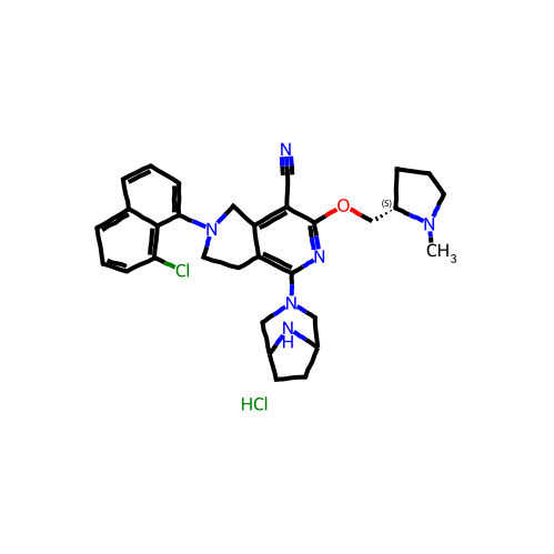 CN1CCC[C@H]1COc1nc(N2CC3CCC(C2)N3)c2c(c1C#N)CN(c1cccc3cccc(Cl)c13)CC2.Cl